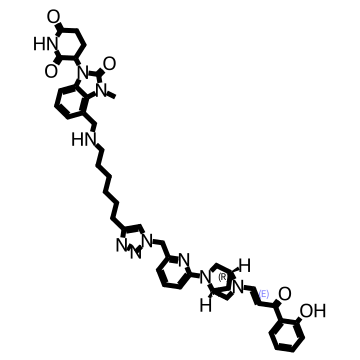 Cn1c(=O)n(C2CCC(=O)NC2=O)c2cccc(CNCCCCCCc3cn(Cc4cccc(N5C[C@H]6C[C@@H]5CN6/C=C/C(=O)c5ccccc5O)n4)nn3)c21